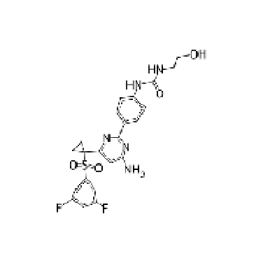 Nc1cc(C2(S(=O)(=O)c3cc(F)cc(F)c3)CC2)nc(-c2ccc(NC(=O)NCCO)cc2)n1